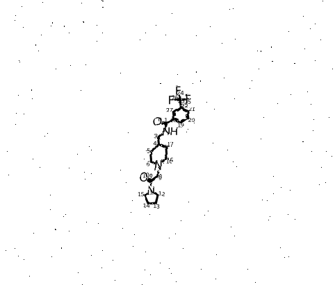 O=C(NCC1CCN(CC(=O)N2CCCC2)CC1)c1cccc(C(F)(F)F)c1